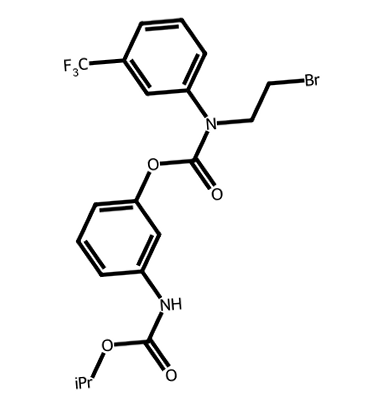 CC(C)OC(=O)Nc1cccc(OC(=O)N(CCBr)c2cccc(C(F)(F)F)c2)c1